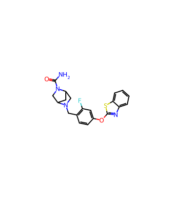 NC(=O)N1CC2CC1CN2Cc1ccc(Oc2nc3ccccc3s2)cc1F